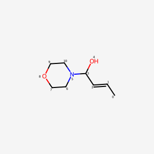 CC=CC(O)N1CCOCC1